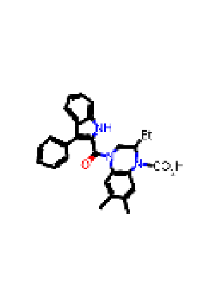 CCC1CN(C(=O)c2[nH]c3ccccc3c2-c2ccccc2)c2cc(C)c(C)cc2N1C(=O)O